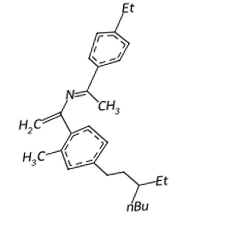 C=C(/N=C(\C)c1ccc(CC)cc1)c1ccc(CCC(CC)CCCC)cc1C